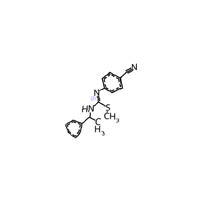 CS/C(=N\c1ccc(C#N)cc1)NC(C)c1ccccc1